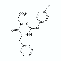 O=C(O)CNC(=O)C(Cc1ccccc1)NC(=O)Nc1ccc(Br)cc1